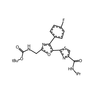 CC(C)NC(=O)c1csc(-c2oc(CNC(=O)OC(C)(C)C)nc2-c2ccc(F)cc2)n1